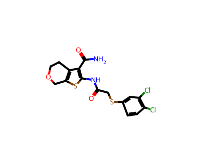 NC(=O)c1c(NC(=O)CSc2ccc(Cl)c(Cl)c2)sc2c1CCOC2